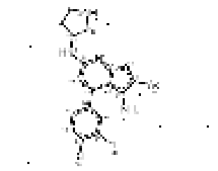 CC(=O)c1sc2nc(N[C@H]3CCNC3)nc(-c3ccc(Cl)c(Cl)c3)c2c1N